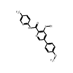 CCSc1cc(-c2ccc(OC(F)(F)F)cc2)cnc1C(=O)Nc1ccc(C(F)(F)F)cn1